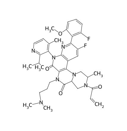 C=CC(=O)N1CC2C(=O)N(CCCN(C)C)c3c(c4cc(F)c(-c5c(F)cccc5OC)nc4n(-c4c(C)ccnc4C(C)C)c3=O)N2CC1C